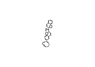 C1=CCCC=CCC1.C1=C[CH]([Pt][CH]2C=Cc3ccccc3O2)Oc2ccccc21